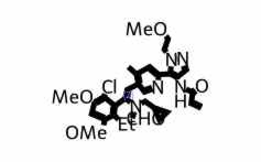 C=CC(=O)Nc1cnn(CCOC)c1-c1cc(C)c(/C=C(/c2c(Cl)c(OC)cc(OC)c2CC)N(C=O)CC2CC2)cn1